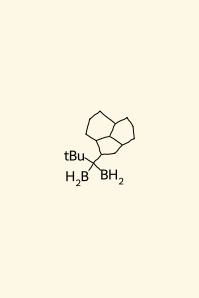 BC(B)(C1CC2CCCC3CCCC1C32)C(C)(C)C